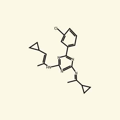 CC(=CC1CC1)Nc1nc(/N=C(\C)C2CC2)nc(-c2cccc(Cl)c2)n1